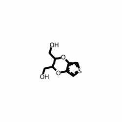 OCC1Oc2cscc2OC1CO